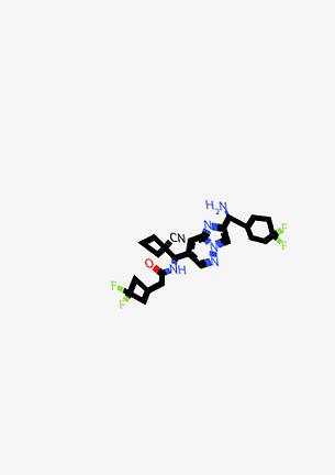 N#CC1(C(NC(=O)CC2CC(F)(F)C2)c2cnn3cc([C@@H](N)C4CCC(F)(F)CC4)nc3c2)CCC1